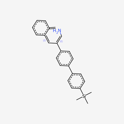 C=c1cccc/c1=C/C(=C\N)c1ccc(-c2ccc([Si](C)(C)C)cc2)cc1